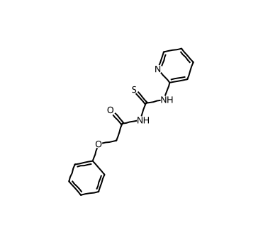 O=C(COc1ccccc1)NC(=S)Nc1ccccn1